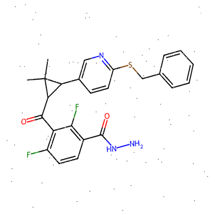 CC1(C)C(C(=O)c2c(F)ccc(C(=O)NN)c2F)C1c1ccc(SCc2ccccc2)nc1